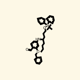 CCCCC(CCCO[Si](c1ccccc1)(c1ccccc1)C(C)(C)C)Nc1ccc(C=O)c(OCc2ccccc2)c1